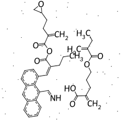 C=C(CCC1CO1)C(=O)OC(=O)C(=Cc1cccc2cc3ccccc3c(C=N)c12)CCC.C=C(CCCOC(=O)C(=C)CC)C(=O)O